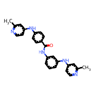 Cc1cc(Nc2ccc(C(=O)Nc3cccc(Nc4ccnc(C)c4)c3)cc2)ccn1